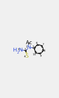 CC(=O)N(C(N)=S)c1ccccc1